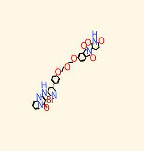 CN1C[C@H](Nc2nc3ccccn3c(=O)c2Br)C[C@H](c2ccc(OCCOCCOc3ccc4c(c3)C(=O)N(C3CCC(=O)NC3=O)C4=O)cc2)C1